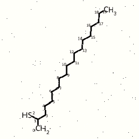 [CH2]C(S)CCCCCCCCCCCCCCCCC